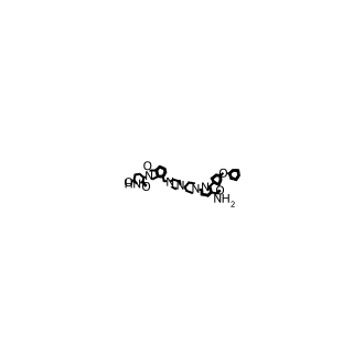 NC(=O)c1ccc(N2CCC(N3CCN(Cc4cccc5c4CN(C4CCC(=O)NC4=O)C5=O)CC3)CC2)nc1-c1ccc(Oc2ccccc2)cc1